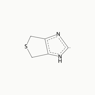 [c]1nc2c([nH]1)CSC2